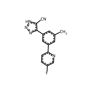 Cc1cc(-c2ccc(F)cn2)cc(-c2nn[nH]c2C#N)c1